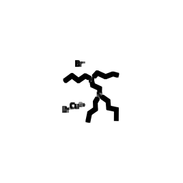 CCCCN(CCCC)CCN(CCCC)CCCC.[Br-].[Br-].[Cu+2]